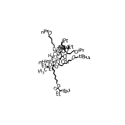 CCCCCCCOC(CCCCCCCOC([O])C(CC)CCCC)(OC(CCCCCOCC(C)(C)C)OC(C)(C)C(OC(CCOC(C)C)OCC)C(OCCC(C)C)(OCC(C)C)OC(C)(CCCC)OCCCCOCCC)OC(C)(CC)CC